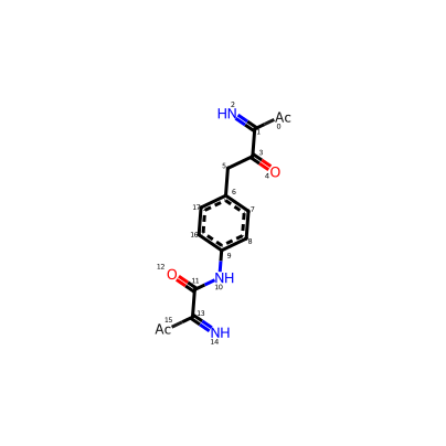 CC(=O)C(=N)C(=O)Cc1ccc(NC(=O)C(=N)C(C)=O)cc1